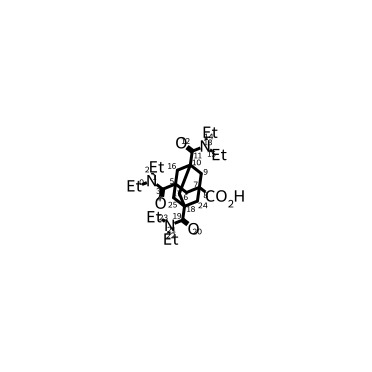 CCN(CC)C(=O)C12CC3(C(=O)O)CC(C(=O)N(CC)CC)(C1)CC(C(=O)N(CC)CC)(C3)C2